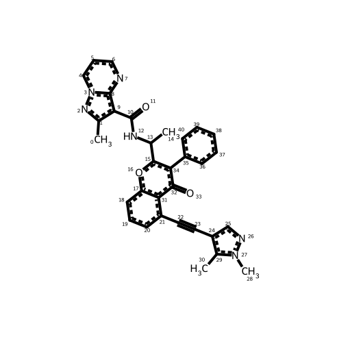 Cc1nn2cccnc2c1C(=O)NC(C)c1oc2cccc(C#Cc3cnn(C)c3C)c2c(=O)c1-c1ccccc1